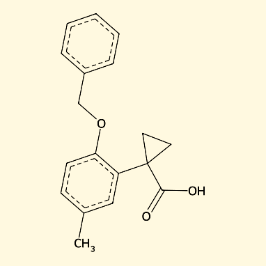 Cc1ccc(OCc2ccccc2)c(C2(C(=O)O)CC2)c1